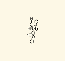 CCOc1cc(C(Nc2ccc(C#N)cc2)C(=O)NCc2ccccc2)ccc1OCc1ccccc1